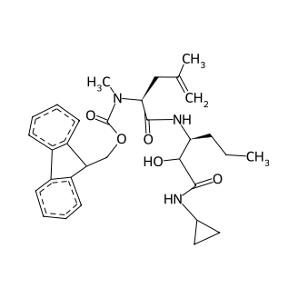 C=C(C)C[C@@H](C(=O)N[C@@H](CCC)C(O)C(=O)NC1CC1)N(C)C(=O)OCC1c2ccccc2-c2ccccc21